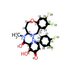 CN1C(=O)c2c(O)c(=O)ccn2N2C1CCOc1cc(F)c(F)cc1[C@@H]2c1ccc(F)c(F)c1